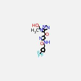 C[C@@H](CO)n1cc(C(=O)c2cncc(NC(=O)Cc3ccc(C(F)(F)F)cc3)c2)c2cncnc21